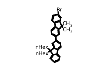 CCCCCCC1(CCCCCC)c2ccccc2-c2ccc(-c3ccc4c(c3)C(C)(C)c3cc(Br)ccc3-4)cc21